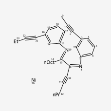 CC#Cc1cccc(N=C(C#CCCC)C(CCCCCCCC)=Nc2cccc(C#CCC)c2)c1.[Ni]